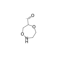 O=[C]C1CONCCO1